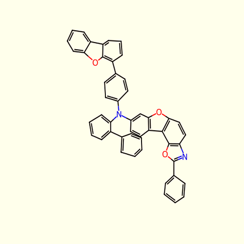 c1ccc(-c2nc3ccc4oc5cc(N(c6ccc(-c7cccc8c7oc7ccccc78)cc6)c6ccccc6-c6ccccc6)ccc5c4c3o2)cc1